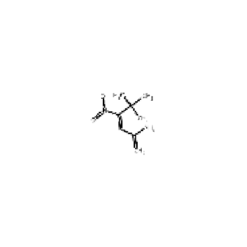 C=C(N)/C=C(/[N+](=O)[O-])C(C)(C)C